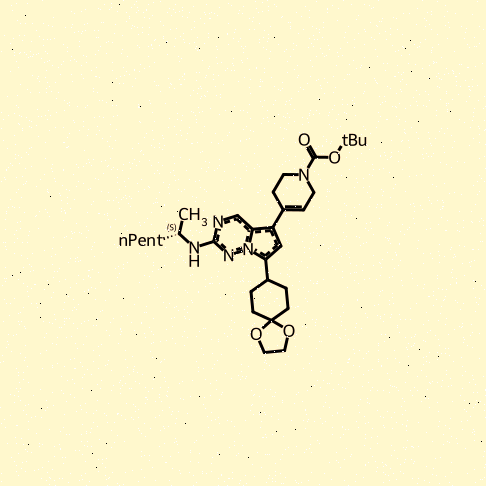 CCCCC[C@H](C)Nc1ncc2c(C3=CCN(C(=O)OC(C)(C)C)CC3)cc(C3CCC4(CC3)OCCO4)n2n1